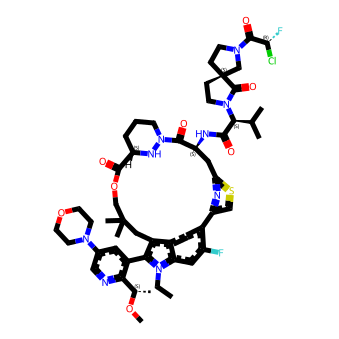 CCn1c(-c2cc(N3CCOCC3)cnc2[C@H](C)OC)c2c3cc(c(F)cc31)-c1csc(n1)C[C@H](NC(=O)[C@H](C(C)C)N1CC[C@]3(CCN(C(=O)[C@H](F)Cl)C3)C1=O)C(=O)N1CCC[C@H](N1)C(=O)OCC(C)(C)C2